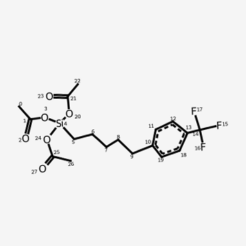 CC(=O)O[Si](CCCCCc1ccc(C(F)(F)F)cc1)(OC(C)=O)OC(C)=O